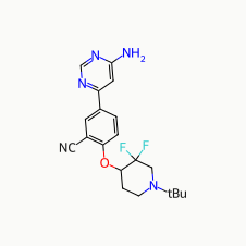 CC(C)(C)N1CCC(Oc2ccc(-c3cc(N)ncn3)cc2C#N)C(F)(F)C1